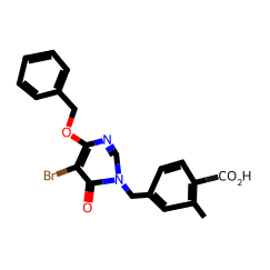 Cc1cc(Cn2cnc(OCc3ccccc3)c(Br)c2=O)ccc1C(=O)O